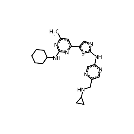 Cc1cc(-c2cnc(Nc3cnc(CNC4CC4)cn3)s2)nc(NC2CCCCC2)n1